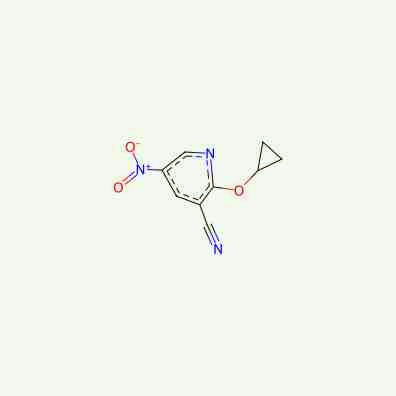 N#Cc1cc([N+](=O)[O-])cnc1OC1CC1